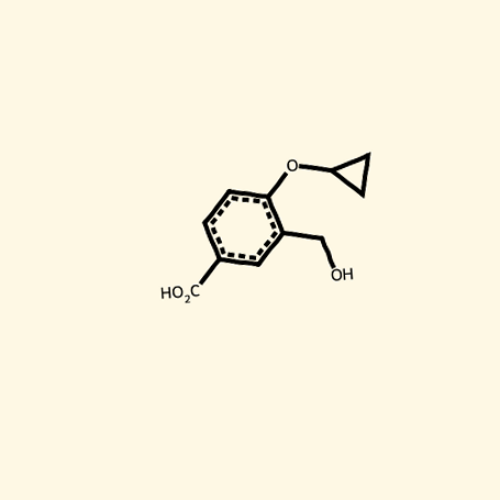 O=C(O)c1ccc(OC2CC2)c(CO)c1